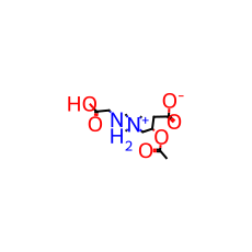 CC(=O)OC(CC(=O)[O-])C[N+](C)(C)C.NCC(=O)O